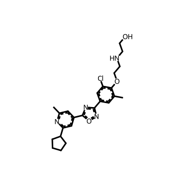 Cc1cc(-c2nc(-c3cc(C)c(OCCNCCO)c(Cl)c3)no2)cc(C2CCCC2)n1